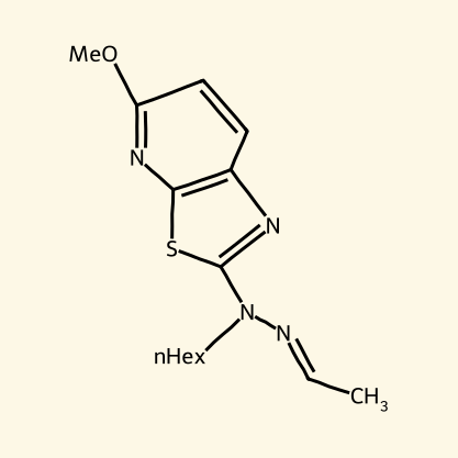 C/C=N/N(CCCCCC)c1nc2ccc(OC)nc2s1